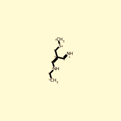 CCN/C=C(\C=N)CSC